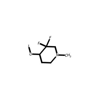 CN1CCC(OI)C(F)(F)C1